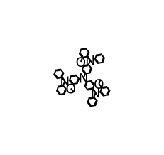 COc1ccccc1N(c1ccccc1)c1ccc(N(c2ccc(N(c3ccccc3)c3ccccc3OC)cc2)c2ccc(N(c3ccccc3)c3ccccc3OC)cc2)cc1